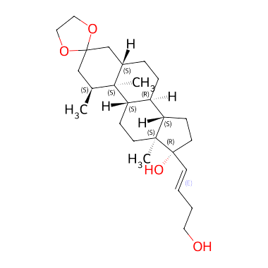 C[C@H]1CC2(C[C@@H]3CC[C@@H]4[C@H](CC[C@@]5(C)[C@H]4CC[C@@]5(O)/C=C/CCO)[C@]31C)OCCO2